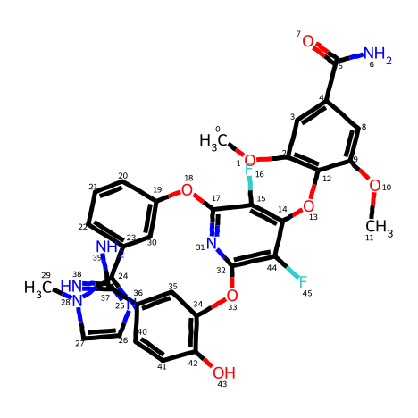 COc1cc(C(N)=O)cc(OC)c1Oc1c(F)c(Oc2cccc(-c3nccn3C)c2)nc(Oc2cc(C(=N)N)ccc2O)c1F